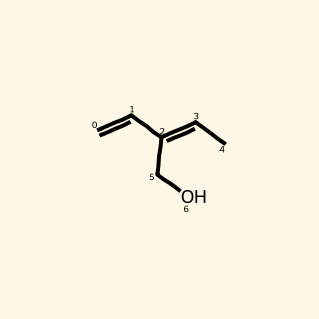 C=CC(=CC)CO